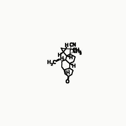 C=C[C@H]1CC2=CC(=O)CC[C@@H]2[C@H]2CC[C@@]3(C)[C@@H]([C@@H]4C[C@@H]4[C@]3(C)C#N)[C@@H]21